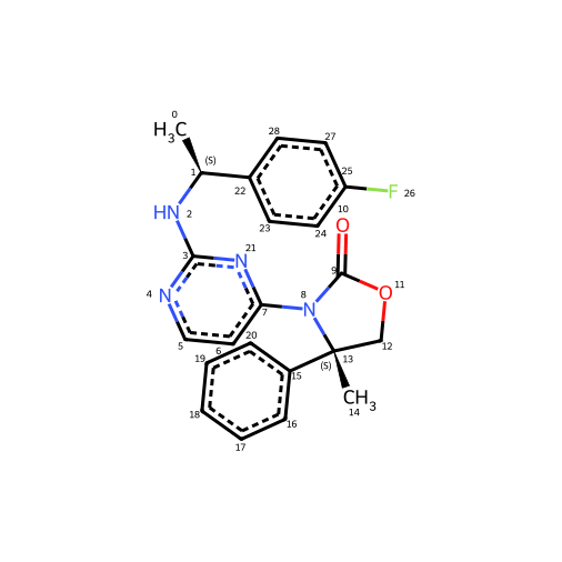 C[C@H](Nc1nccc(N2C(=O)OC[C@]2(C)c2ccccc2)n1)c1ccc(F)cc1